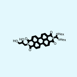 CCCCCCC(CCCCCC)N1C(=O)c2ccc3c4ccc5c6c(ccc(c7ccc(c2c37)C1=O)c64)C(=O)N(CC(O)CO)C5=O